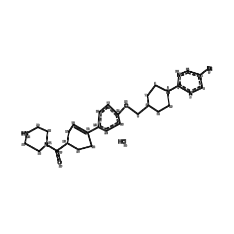 CCc1cnc(N2CCC(COc3ccc(C4=CCC(C(=O)N5CCNCC5)CC4)cc3)CC2)nc1.Cl